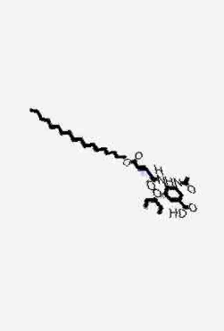 CCCCCCCCCCCCCCCCCCOC(=O)/C=C/C(=O)N[C@@H]1[C@@H](NC(C)=O)CC(C(=O)O)=C[C@@H]1OC(CC)CC